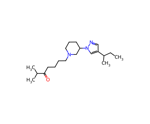 CCC(C)c1cnn(C2CCCN(CCCCC(=O)C(C)C)C2)c1